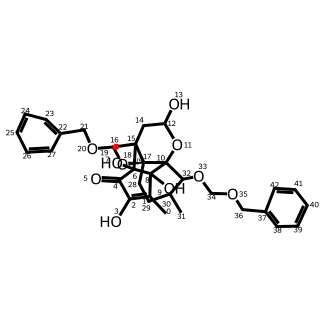 CC1=C(O)C(=O)C2(O)C1(O)C13OC(O)CC2(C)[C@@]1(OCOCc1ccccc1)CCC(C)C3OCOCc1ccccc1